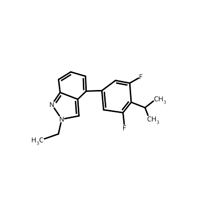 CCn1cc2c(-c3cc(F)c(C(C)C)c(F)c3)cccc2n1